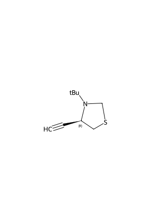 C#C[C@@H]1CSCN1C(C)(C)C